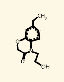 CCc1[c]cc2c(c1)OCC(=O)N2CCO